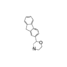 c1ccc2c(c1)Cc1cc(C3C[N]CCO3)ccc1-2